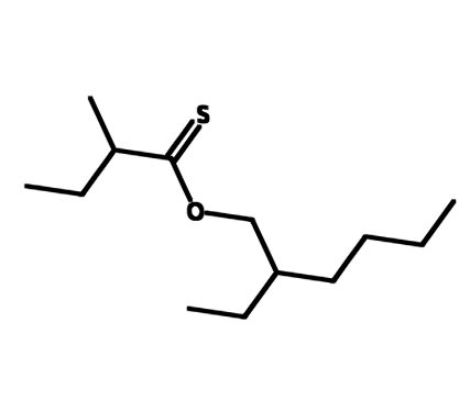 CCCCC(CC)COC(=S)C(C)CC